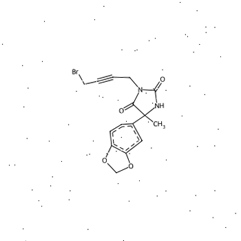 CC1(c2ccc3c(c2)OCO3)NC(=O)N(CC#CCBr)C1=O